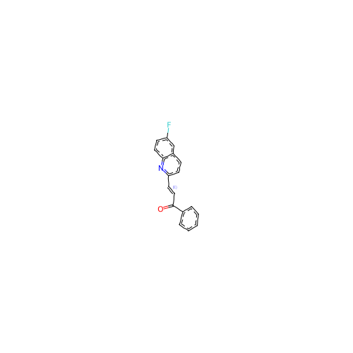 O=C(/C=C/c1ccc2cc(F)ccc2n1)c1ccccc1